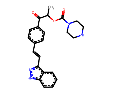 CC(OC(=O)N1CCNCC1)C(=O)c1ccc(C=Cc2n[nH]c3ccccc23)cc1